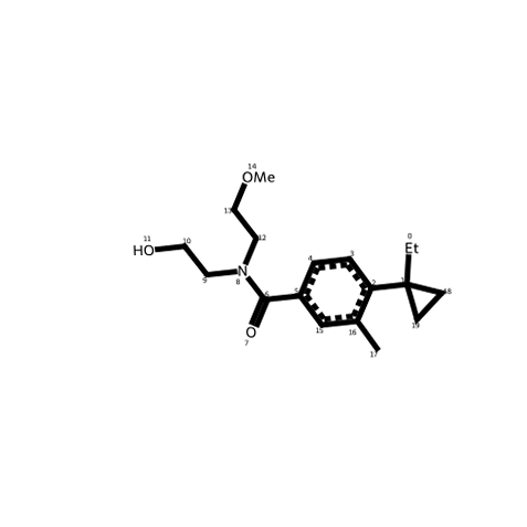 CCC1(c2ccc(C(=O)N(CCO)CCOC)cc2C)CC1